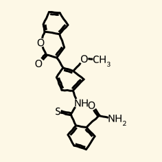 COc1cc(NC(=S)c2ccccc2C(N)=O)ccc1-c1cc2ccccc2oc1=O